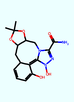 CC1(C)OC2CC3C=CC=C(O)/C3=C3\N(O)N=C(C(N)=O)N3CC2O1